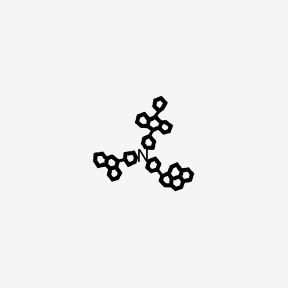 c1ccc(-c2c3ccccc3c(-c3ccc(N(c4ccc(-c5cc6ccccc6c6ccccc56)cc4)c4ccc(-c5ccc6ccc7cccc8ccc5c6c78)cc4)cc3)c3ccccc23)cc1